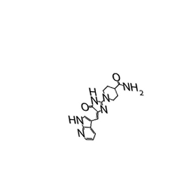 NC(=O)C1CCN(C2=NC(=Cc3c[nH]c4ncccc34)C(=O)N2)CC1